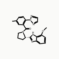 COc1cccc2nc([C@@H]3CCCN3C(=O)c3cc(C)ccc3-n3nccn3)[nH]c12